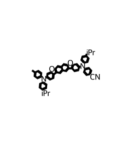 Cc1ccc(N(c2ccc(C(C)C)cc2)c2ccc3c(c2)oc2cc4cc5oc6cc(N(c7ccc(C#N)cc7)c7ccc(C(C)C)cc7)ccc6c5cc4cc23)cc1